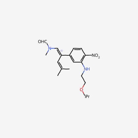 CC(C)=C/C(=C\N(C)C=O)c1ccc([N+](=O)[O-])c(NCCOC(C)C)c1